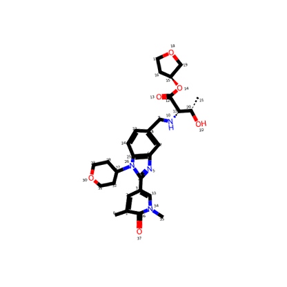 Cc1cc(-c2nc3cc(CN[C@H](C(=O)O[C@H]4CCOC4)[C@H](C)O)ccc3n2C2CCOCC2)cn(C)c1=O